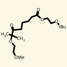 COCCOC(C)(C)C(=O)CCCCC(=O)OCCOC(C)(C)C